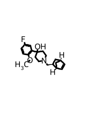 COc1ccc(F)cc1C1(O)CCN(C[C@H]2C[C@H]3C=C[C@H]2C3)CC1